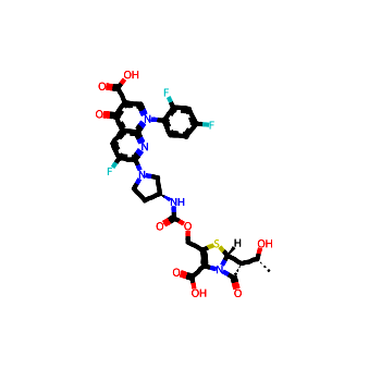 C[C@@H](O)[C@@H]1C(=O)N2C(C(=O)O)=C(COC(=O)N[C@H]3CCN(c4nc5c(cc4F)c(=O)c(C(=O)O)cn5-c4ccc(F)cc4F)C3)S[C@H]12